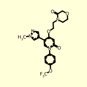 Cn1cc(-c2cn(-c3ccc(OC(F)(F)F)cc3)c(=O)cc2OCCN2CCOCC2=O)cn1